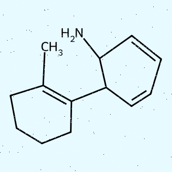 CC1=C(C2C=CC=CC2N)CCCC1